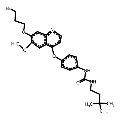 COc1cc2c(Oc3ccc(NC(=O)NCCC(C)(C)C)cc3)ccnc2cc1OCCCBr